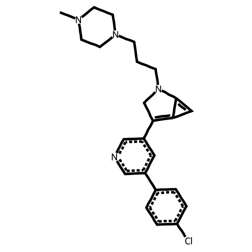 CN1CCN(CCCN2CC(c3cncc(-c4ccc(Cl)cc4)c3)=C3C=C32)CC1